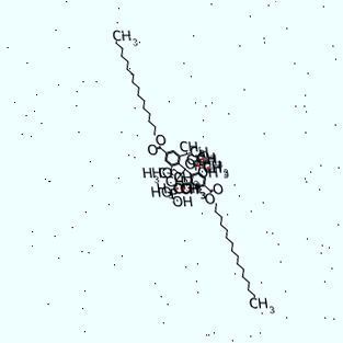 CCCCCCCCCCCCCCCCOC(=O)c1cc(C(C)(C)C)c(C(OP(O)O)(c2c(C(C)(C)C)cc(C(=O)OCCCCCCCCCCCCCCCC)cc2C(C)(C)C)C(CO)(CO)COP(O)O)c(C(C)(C)C)c1